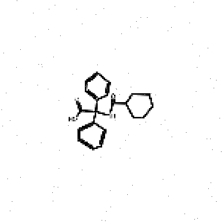 O=C(NC(C(=O)O)(c1ccccc1)c1ccccc1)C1CCCCC1